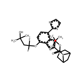 CC(C)(O)CC(F)(F)Oc1ccc(-c2nccs2)c2oc(N3CC4CC(C3)N4C(=O)OC(C)(C)C)nc12